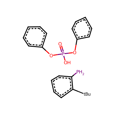 CC(C)(C)c1ccccc1P.O=P(O)(Oc1ccccc1)Oc1ccccc1